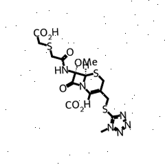 CO[C@@]1(NC(=O)CSCC(=O)O)C(=O)N2C(C(=O)O)=C(CSc3nnnn3C)CS[C@@H]21